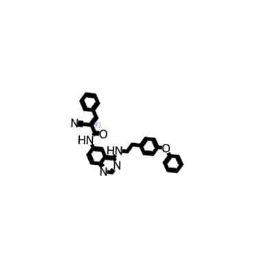 N#C/C(=C\c1ccccc1)C(=O)Nc1ccc2ncnc(NCCc3ccc(Oc4ccccc4)cc3)c2c1